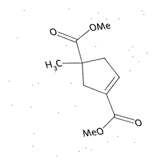 COC(=O)C1=CCC(C)(C(=O)OC)C1